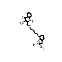 Cc1c(COCCCCOc2cccc3c2OC(C)(C)C3)[nH]c2ccccc2c1=O